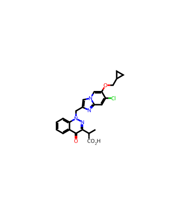 CC(C(=O)O)c1nn(Cc2cn3cc(OCC4CC4)c(Cl)cc3n2)c2ccccc2c1=O